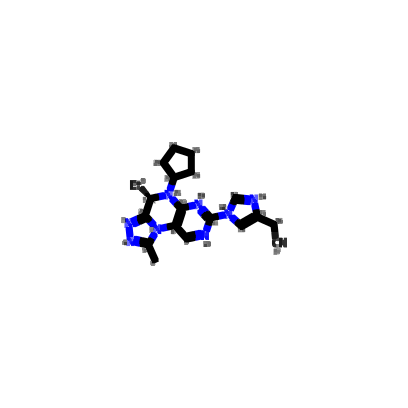 CC[C@@H]1c2nnc(C)n2-c2cnc(-n3cnc(CC#N)c3)nc2N1C1CCCC1